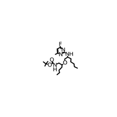 CCCCCC(COC(CCCC)CNC(=O)OC(C)(C)C)Nc1nc(C)cc(F)n1